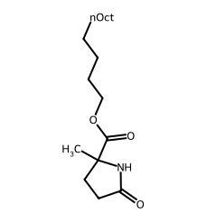 CCCCCCCCCCCCOC(=O)C1(C)CCC(=O)N1